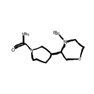 CC(C)(C)C(=O)N1CCC(C2COCCN2C(C)(C)C)C1